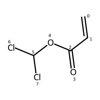 C=CC(=O)OC(Cl)Cl